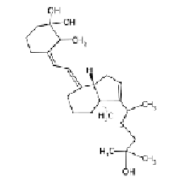 C=C1/C(=C\C=C2/CCC[C@]3(C)C(C(C)SCC(C)(C)O)=CC[C@@H]23)CCCC1(O)O